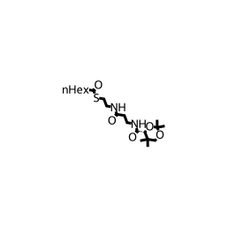 CCCCCCC(=O)SCCNC(=O)CCNC(=O)[C@@H]1OC(C)(C)OCC1(C)C